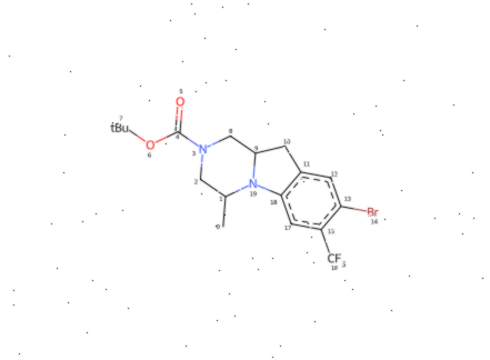 CC1CN(C(=O)OC(C)(C)C)CC2Cc3cc(Br)c(C(F)(F)F)cc3N12